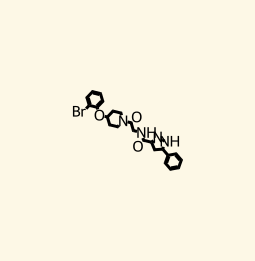 O=C(NCC(=O)N1CCC(Oc2ccccc2Br)CC1)C1=NNC(c2ccccc2)C1